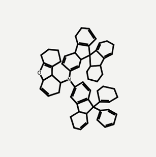 C1=CC2=C(CC1)C1C=CC(N(c3ccc4c(c3)C3CCC=CC3C4(C3=CCCCC3)c3ccccc3)C3CC=CC4OC5=C(CCCC5)C43)=CC1C21C2=CCCC=C2C2CCCCC21